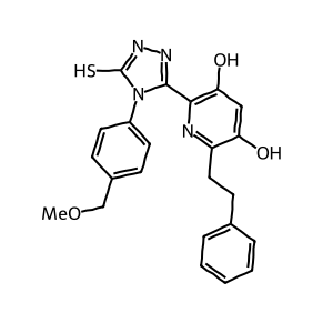 COCc1ccc(-n2c(S)nnc2-c2nc(CCc3ccccc3)c(O)cc2O)cc1